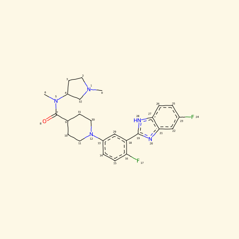 CN1CCC(N(C)C(=O)C2CCN(c3ccc(F)c(-c4nc5cc(F)ccc5[nH]4)c3)CC2)C1